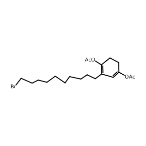 CC(=O)OC1=CC(CCCCCCCCCCBr)=C(OC(C)=O)CC1